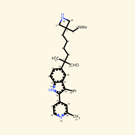 CNCC1(CCCCC(C)(C=O)c2ccc3[nH]c(-c4ccnc(C)c4)c(C(C)C)c3c2)CNC1